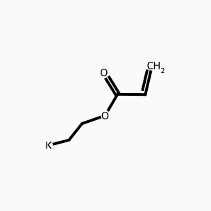 C=CC(=O)OC[CH2][K]